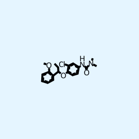 CCC(Oc1ccc(NC(=O)N(C)C)cc1Cl)c1ccccc1OC